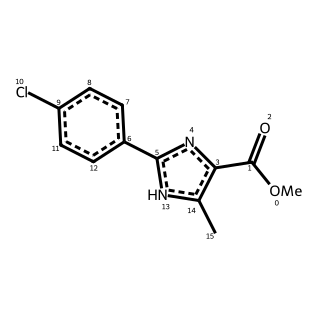 COC(=O)c1nc(-c2ccc(Cl)cc2)[nH]c1C